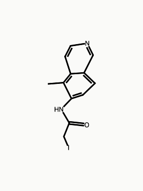 Cc1c(NC(=O)CI)ccc2cnccc12